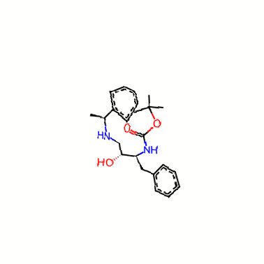 C[C@H](NC[C@@H](O)[C@H](Cc1ccccc1)NC(=O)OC(C)(C)C)c1ccccc1